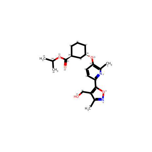 Cc1nc(-c2onc(C)c2CO)ccc1O[C@H]1CCC[C@H](C(=O)OC(C)C)C1